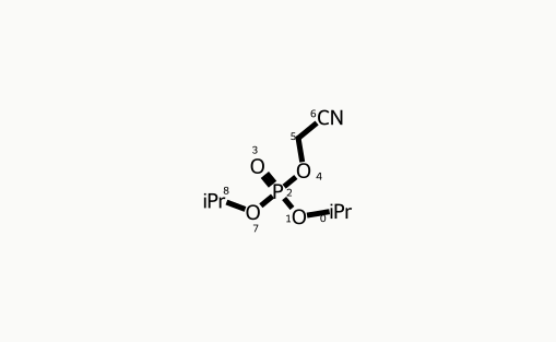 CC(C)OP(=O)(OCC#N)OC(C)C